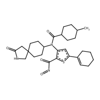 CC1CCC(C(=O)N(c2cc(C3=CCCCC3)sc2C(=O)N=O)C2CCC3(CC2)CNC(=O)C3)CC1